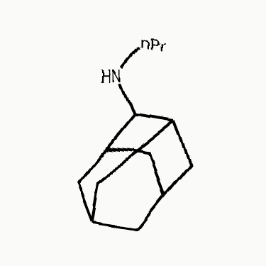 CCCNC1C2CC3CC(C2)CC1C3